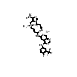 C[N+](C)(C/C=C/C(=O)Nc1cc2c(Nc3ccc(F)c(C(F)(F)F)c3)ncnc2cn1)Cc1c([N+](=O)[O-])ncn1CCC#N.[Br-]